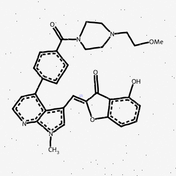 COCCN1CCN(C(=O)c2ccc(-c3ccnc4c3c(/C=C3\Oc5cccc(O)c5C3=O)cn4C)cc2)CC1